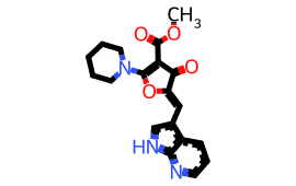 COC(=O)C1=C(N2CCCCC2)OC(=Cc2c[nH]c3ncccc23)C1=O